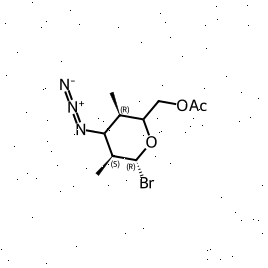 CC(=O)OCC1O[C@H](Br)[C@@H](C)C(N=[N+]=[N-])[C@H]1C